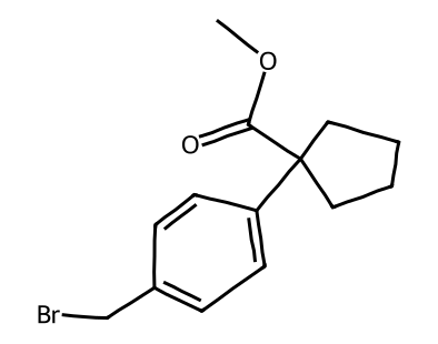 COC(=O)C1(c2ccc(CBr)cc2)CCCC1